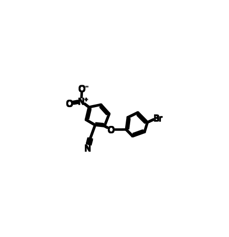 N#Cc1cc([N+](=O)[O-])ccc1Oc1ccc(Br)cc1